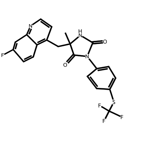 CC1(Cc2ccnc3cc(F)ccc23)NC(=O)N(c2ccc(SC(F)(F)F)cc2)C1=O